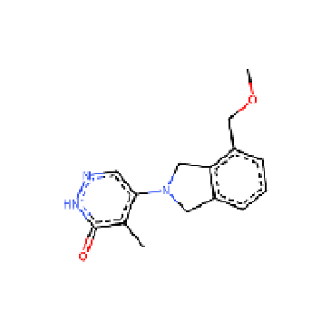 COCc1cccc2c1CN(c1cn[nH]c(=O)c1C)C2